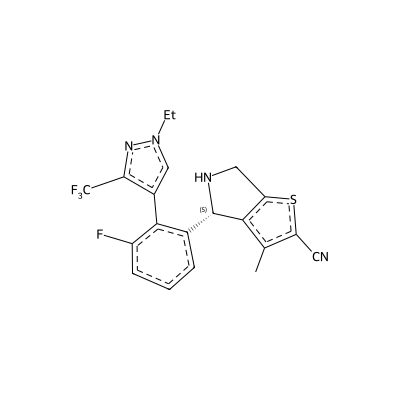 CCn1cc(-c2c(F)cccc2[C@@H]2NCc3sc(C#N)c(C)c32)c(C(F)(F)F)n1